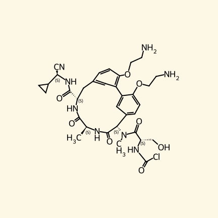 C[C@@H]1NC(=O)[C@@H](N(C)C(=O)[C@H](CO)NC(=O)Cl)c2ccc(OCCN)c(c2)-c2cc(ccc2OCCN)C[C@@H](C(=O)N[C@H](C#N)C2CC2)NC1=O